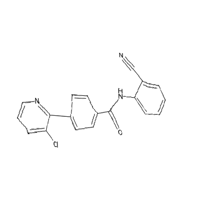 N#Cc1ccccc1NC(=O)c1ccc(-c2ncccc2Cl)cc1